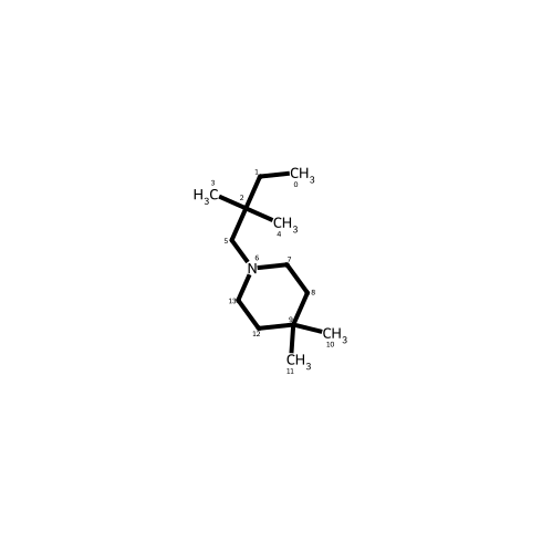 CCC(C)(C)CN1CCC(C)(C)CC1